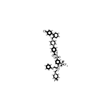 O=C(NS(=O)(=O)c1ccc(N[C@H](CCN2CCC(F)(F)CC2)CSc2ccccc2)c(S(=O)(=O)C(F)(F)F)c1)c1ccc(N2CCN(CC3=C(c4ccc(Cl)cc4)CCCC3)CC2)cc1